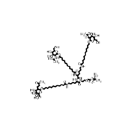 CC(=O)CCC1C(OCCCCCCCCCCCC(=O)NCCCCC(NC(=O)C(CCCCNC(=O)CCCCCCCCCCCOC2OC(CO)[C@@H](O)C(O)C2NC(C)=O)NC(=O)CCCCCCCCCCCOC2OC(CO)C(O)C(O)C2NC(C)O)C(=O)NCCOCCOC(C)(C)C)OC(CO)[C@@](C)(O)C1O